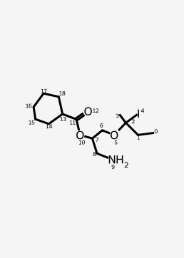 CCC(C)(I)OCC(CN)OC(=O)C1CCCCC1